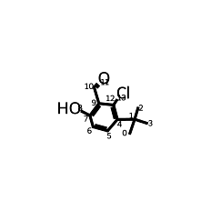 CC(C)(C)c1ccc(O)c(C=O)c1Cl